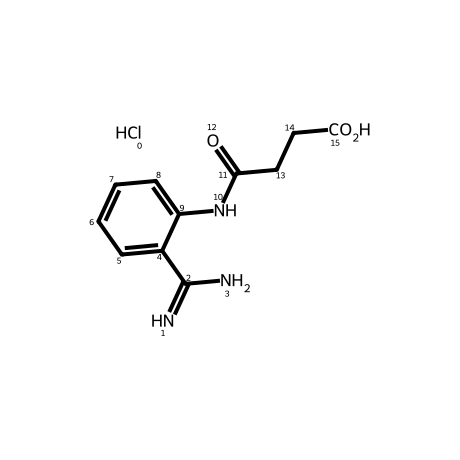 Cl.N=C(N)c1ccccc1NC(=O)CCC(=O)O